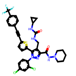 O=C(NCc1c(C(=O)NN2CCCCC2)nn(-c2ccc(Cl)cc2Cl)c1-c1ccc(C#Cc2ccc(C(F)(F)F)cc2)s1)NC1CC1